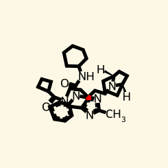 Cc1nc2c(n1[C@H]1C[C@H]3CC[C@@H](C1)N3CCCN(C(=O)NC1CCCCC1)c1ccccc1)CCN(C(=O)C1CCC1)C2